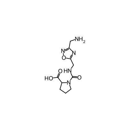 NCc1noc(CNC(=O)N2CCCC2C(=O)O)n1